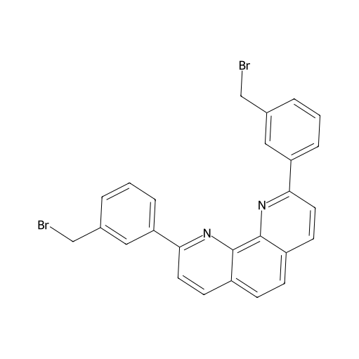 BrCc1cccc(-c2ccc3ccc4ccc(-c5cccc(CBr)c5)nc4c3n2)c1